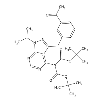 CC(=O)c1cccc(Cc2nn(C(C)C)c3ncnc(N(C(=O)OC(C)(C)C)C(=O)OC(C)(C)C)c23)c1